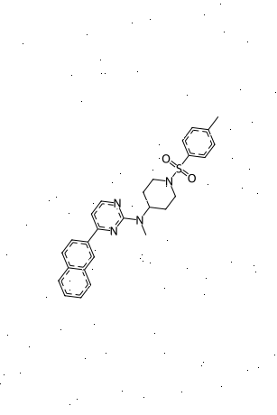 Cc1ccc(S(=O)(=O)N2CCC(N(C)c3nccc(-c4ccc5ccccc5c4)n3)CC2)cc1